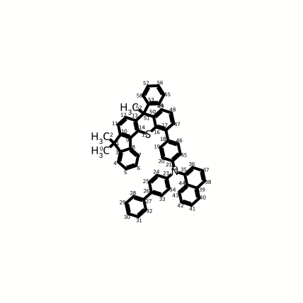 CC1(C)c2ccccc2-c2c1ccc1c2Sc2c(-c3ccc(N(c4ccc(-c5ccccc5)cc4)c4cccc5ccccc45)cc3)cccc2C1(C)c1ccccc1